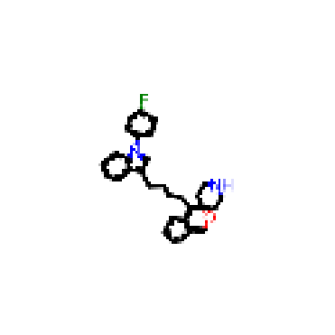 Fc1ccc(-n2cc(CCCCC3=c4ccccc4=COC34CCNCC4)c3ccccc32)cc1